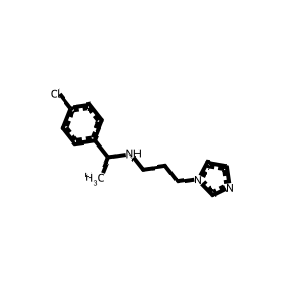 CC(NCCCn1ccnc1)c1ccc(Cl)cc1